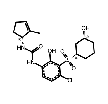 CC1=CCC[C@H]1NC(=O)Nc1ccc(Cl)c(S(=O)(=O)[C@H]2CCC[C@H](O)C2)c1O